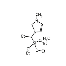 CCO[Si](OCC)(OCC)C(CC)N1C=CN(C)C1.O